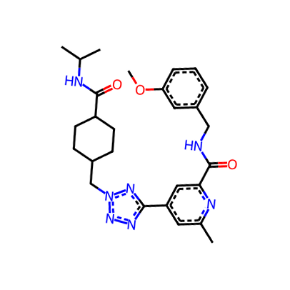 COc1cccc(CNC(=O)c2cc(-c3nnn(CC4CCC(C(=O)NC(C)C)CC4)n3)cc(C)n2)c1